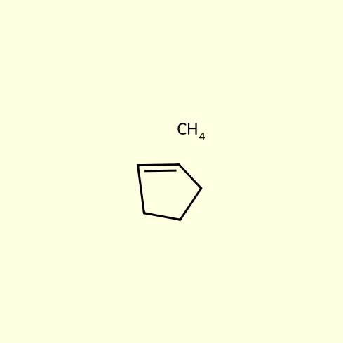 C.C1=CCCC1